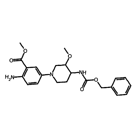 COC(=O)c1cc(N2CCC(NC(=O)OCc3ccccc3)C(OC)C2)ccc1N